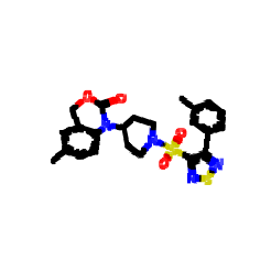 Cc1cccc(-c2nsnc2S(=O)(=O)N2CCC(N3C(=O)OCc4cc(C)ccc43)CC2)c1